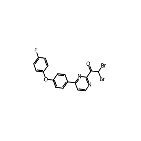 O=C(c1nccc(-c2ccc(Oc3ccc(F)cc3)cc2)n1)C(Br)Br